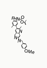 C=C(C)OC(=O)Nc1cc(-c2cc3cnc(N(C)Cc4ccc(OC)cc4)cc3nc2C)c(C)cc1F